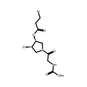 CC[C@@H]1CN(C(=O)CNC(=O)OC)C[C@@H]1OC(=O)CCC(C)=O